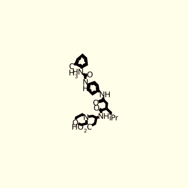 Cc1ccccc1NC(=O)Nc1ccc(NC(=O)CC(CC(C)C)C(=O)NC(CC(=O)O)CN2CCOCC2)cc1